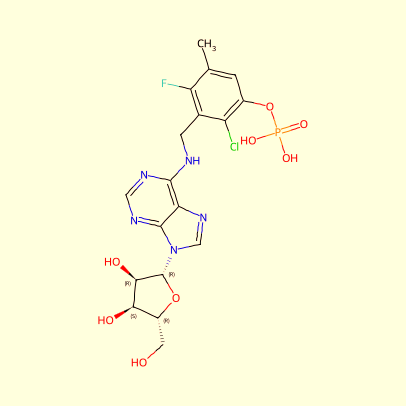 Cc1cc(OP(=O)(O)O)c(Cl)c(CNc2ncnc3c2ncn3[C@@H]2O[C@H](CO)[C@@H](O)[C@H]2O)c1F